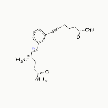 C[C@H](/C=C/c1cccc(C#CCCCC(=O)O)c1)CCC(N)=O